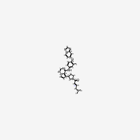 Cc1cc(Nc2ncnn3ccc(C4CCN(C(=O)/C=C/CN(C)C)C4)c23)ccc1Oc1ccn2ncnc2c1